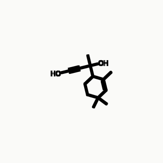 CC1=CC(C)(C)CCC1C(C)(O)C#CO